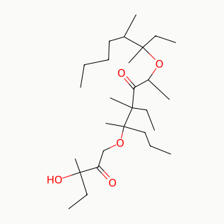 CCCCC(C)C(C)(CC)OC(C)C(=O)C(C)(CC)C(C)(CCC)OCC(=O)C(C)(O)CC